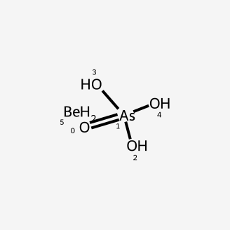 O=[As](O)(O)O.[BeH2]